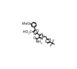 COc1cccc(-c2oc(-c3nn(Cc4nc(C(C)(F)F)cs4)nc3C(N)=O)nc2C(=O)O)c1